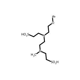 CC(C)OCCN(CCN(C)CCS(=O)(=O)O)CCS(=O)(=O)O